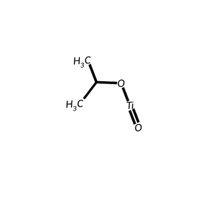 CC(C)[O][Ti]=[O]